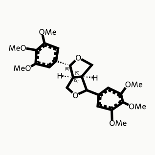 COc1cc(C2OC[C@H]3[C@H](c4cc(OC)c(OC)c(OC)c4)OC[C@@H]23)cc(OC)c1OC